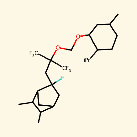 CC1CCC(C(C)C)C(OCOC(CC2(F)CC3CC2C(C)C3C)(C(F)(F)F)C(F)(F)F)C1